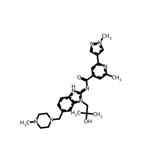 Cc1cc(C(=O)/N=c2\[nH]c3ccc(CN4CCN(C)CC4)cc3n2CC(C)(C)O)cc(-c2cnn(C)c2)n1